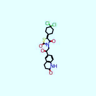 O=C1CCc2cc(C(=O)CN3C(=O)SC(=C4CCC(Cl)(Cl)CC4)C3=O)ccc2N1